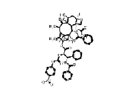 CC(=O)O[C@@]12CO[C@@H]1C[C@H](O)[C@@]1(C)C(=O)C(C)C3=C(C)C(OC(=O)[C@H](OC(=O)Oc4ccc([N+](=O)[O-])cc4)[C@@H](NC(=O)c4ccccc4)c4ccccc4)C[C@@](O)([C@@H](OC(=O)c4ccccc4)C12)C3(C)C